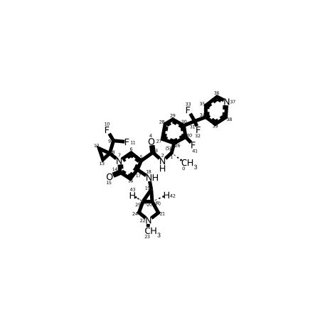 C[C@H](NC(=O)c1cn(C2(C(F)F)CC2)c(=O)cc1NC1[C@H]2CN(C)C[C@@H]12)c1cccc(C(F)(F)c2ccncc2)c1F